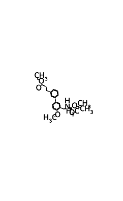 CCOC(=O)CCc1cccc(-c2ccc(OC)c(CNC(=O)OC(C)(C)C)c2)c1